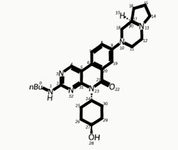 CCCCNc1ncc2c3ccc(N4CCN5CCC[C@@H]5C4)cc3c(=O)n([C@H]3CC[C@H](O)CC3)c2n1